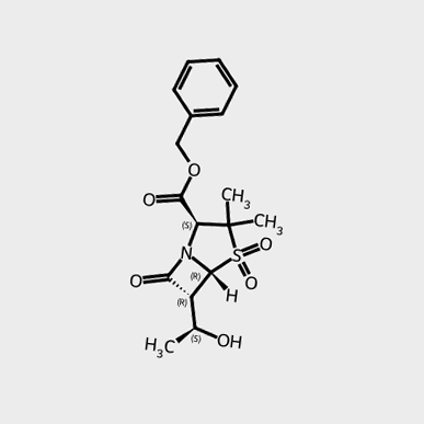 C[C@H](O)[C@@H]1C(=O)N2[C@@H](C(=O)OCc3ccccc3)C(C)(C)S(=O)(=O)[C@H]12